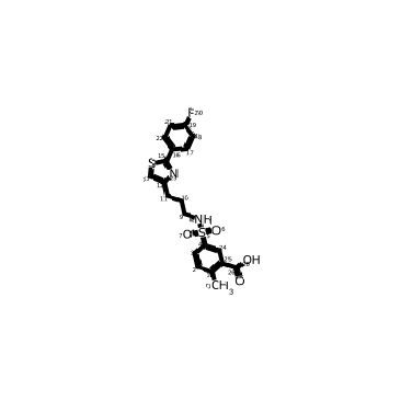 Cc1ccc(S(=O)(=O)NCCCc2csc(-c3ccc(F)cc3)n2)cc1C(=O)O